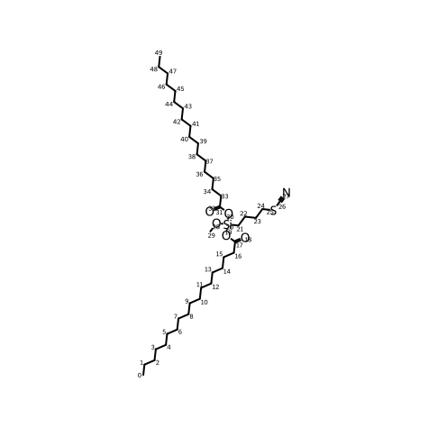 CCCCCCCCCCCCCCCCCC(=O)O[Si](CCCCSC#N)(OC)OC(=O)CCCCCCCCCCCCCCCCC